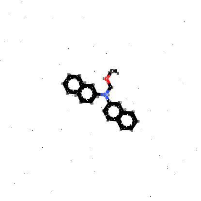 COCN(c1ccc2ccccc2c1)c1ccc2ccccc2c1